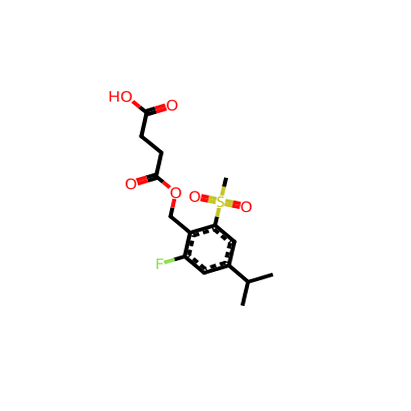 CC(C)c1cc(F)c(COC(=O)CCC(=O)O)c(S(C)(=O)=O)c1